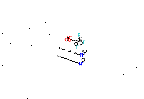 CCCCCCCCCCCCCCCC[N+](C)(C)Cc1ccccc1.CCCCCCCCCCCCCCCC[N+](C)(C)Cc1ccccc1.[O-]B([O-])OCCCCCC(c1cccc(F)c1)(c1cccc(F)c1)c1cccc(F)c1